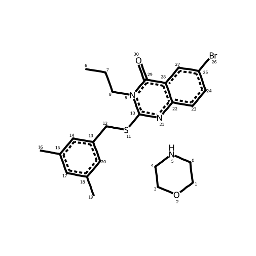 C1COCCN1.CCCn1c(SCc2cc(C)cc(C)c2)nc2ccc(Br)cc2c1=O